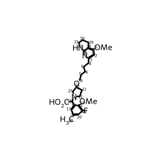 COc1cc(CCCCCO[C@@H]2CCN([C@H](C(=O)O)c3cc(C)cc(F)c3OC)C2)nc2c1CCCN2